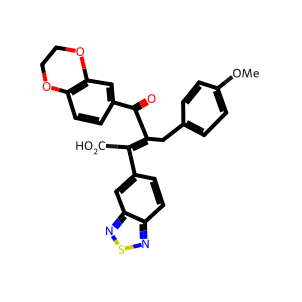 COc1ccc(CC(C(=O)c2ccc3c(c2)OCCO3)=C(C(=O)O)c2ccc3nsnc3c2)cc1